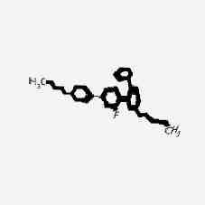 CCCCCc1ccc(-c2ccccc2)c(C2CCC([C@H]3CC[C@H](CCCCC)CC3)CC2F)c1